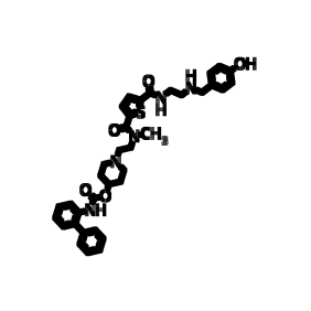 CN(CCN1CCC(OC(=O)Nc2ccccc2-c2ccccc2)CC1)C(=O)c1ccc(C(=O)NCCNCc2ccc(O)cc2)s1